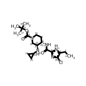 CCc1[nH]c(C(=O)N[C@H]2CCN(C(=O)OC(C)(C)C)C[C@@H]2NC2CC2)nc1Cl